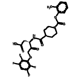 Cc1ccccc1OC(=O)N1CCC(C(=O)N[C@@H](CC(=O)O)C(=O)COc2c(F)c(F)cc(F)c2F)CC1